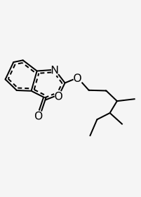 CCC(C)C(C)CCOc1nc2ccccc2c(=O)o1